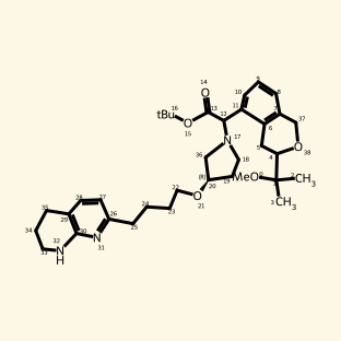 COC(C)(C)C1Cc2c(cccc2C(C(=O)OC(C)(C)C)N2CC[C@@H](OCCCCc3ccc4c(n3)NCCC4)C2)CO1